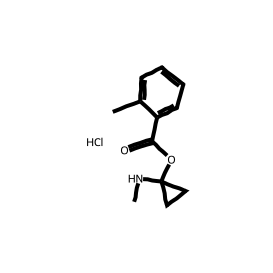 CNC1(OC(=O)c2ccccc2C)CC1.Cl